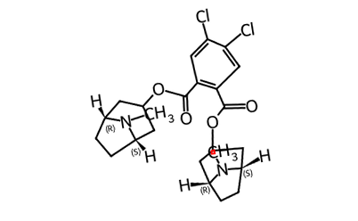 CN1[C@@H]2CC[C@H]1CC(OC(=O)c1cc(Cl)c(Cl)cc1C(=O)OC1C[C@H]3CC[C@@H](C1)N3C)C2